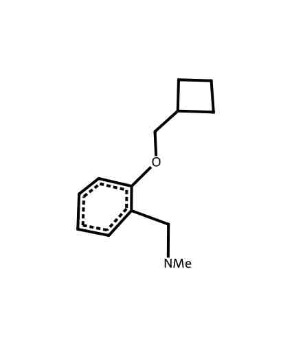 CNCc1ccccc1OCC1CCC1